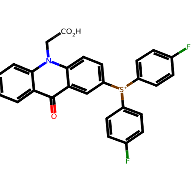 O=C(O)Cn1c2ccccc2c(=O)c2cc([S+](c3ccc(F)cc3)c3ccc(F)cc3)ccc21